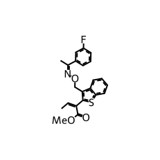 CC=C(C(=O)OC)c1sc2ccccc2c1CON=C(C)c1cccc(F)c1